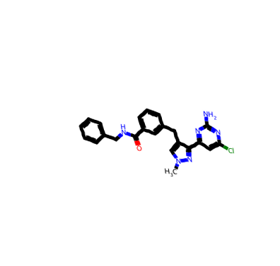 Cn1cc(Cc2cccc(C(=O)NCc3ccccc3)c2)c(-c2cc(Cl)nc(N)n2)n1